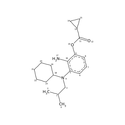 CC(C)CN(c1cccc(OC(=O)C2CC2)c1N)C1CCCCC1